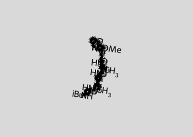 CCC(C)Nc1ccc(NC(=O)c2cc(-c3ccc(NC(=O)c4cc(NC(=O)CCCOc5cc6c(cc5OC)C(=O)N5CCCCC5C=N6)cn4C)cc3)cn2C)cc1